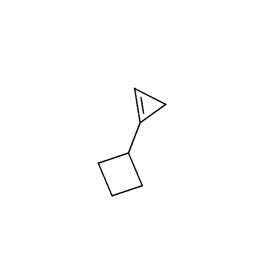 C1=C(C2CCC2)C1